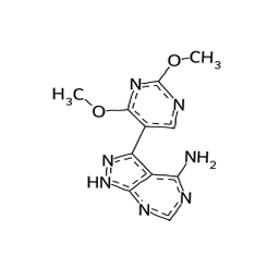 COc1ncc(-c2n[nH]c3ncnc(N)c23)c(OC)n1